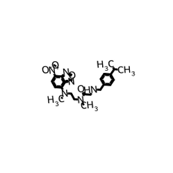 CC(C)c1ccc(CNCC(=O)N(C)CCN(C)c2ccc([N+](=O)[O-])c3nonc23)cc1